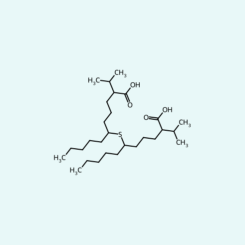 CCCCCC(CCCC(C(=O)O)C(C)C)SC(CCCCC)CCCC(C(=O)O)C(C)C